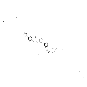 CC(C)(C)OC(=O)N1CCN(C(=O)C(C)(C)Oc2cccc(N3CCC[C@@H](C(=O)N(Cc4ccc(-c5cn[nH]c5)cc4C(F)(F)F)C4CC4)C3)c2)CC1